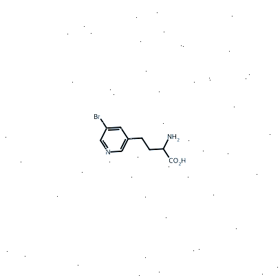 NC(CCc1cncc(Br)c1)C(=O)O